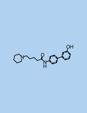 O=C(CCCCN1CCCCC1)Nc1ccc(-c2cccc(O)c2)cc1